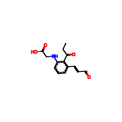 CCC(=O)c1c(/C=C/[C]=O)cccc1NCC(=O)O